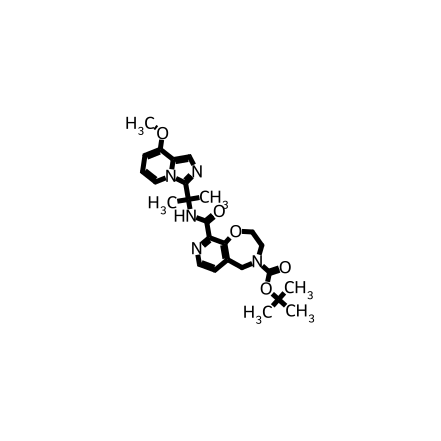 COc1cccn2c(C(C)(C)NC(=O)c3nccc4c3OCCN(C(=O)OC(C)(C)C)C4)ncc12